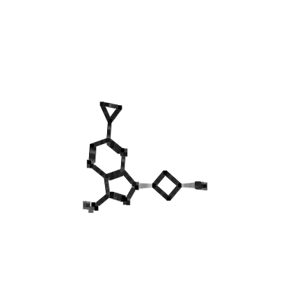 Nc1nn([C@H]2C[C@@H](O)C2)c2nc(C3CC3)cnc12